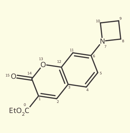 CCOC(=O)c1cc2ccc(N3CCC3)cc2oc1=O